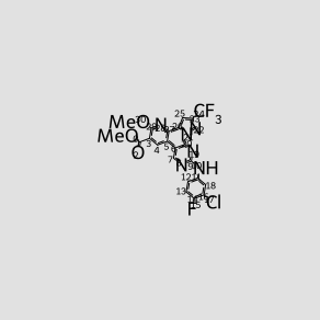 COC(=O)c1cc2c3cnc(Nc4ccc(F)c(Cl)c4)nc3n3nc(C(F)(F)F)cc3c2nc1OC